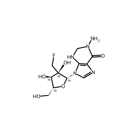 NN1CNc2c(ncn2[C@@H]2O[C@H](CO)[C@@H](O)[C@]2(O)CF)C1=O